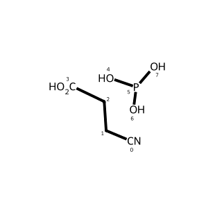 N#CCCC(=O)O.OP(O)O